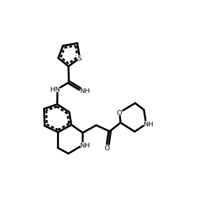 N=C(Nc1ccc2c(c1)C(CC(=O)C1CNCCO1)NCC2)c1cccs1